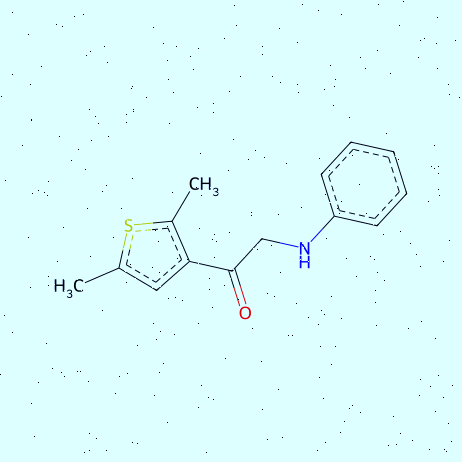 Cc1cc(C(=O)CNc2ccccc2)c(C)s1